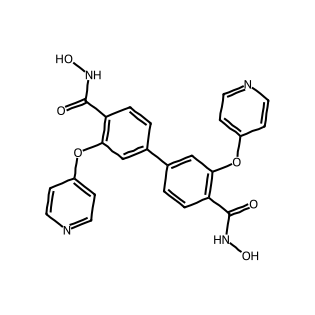 O=C(NO)c1ccc(-c2ccc(C(=O)NO)c(Oc3ccncc3)c2)cc1Oc1ccncc1